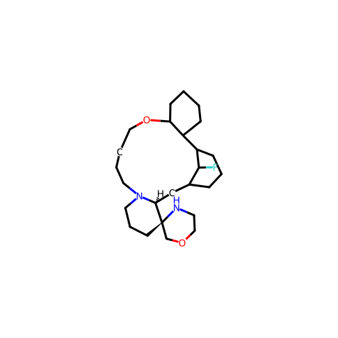 FC1C2CCCC1C1CCCCC1OCCCCN1CCC[C@@]3(COCCN3)[C@@H]1C2